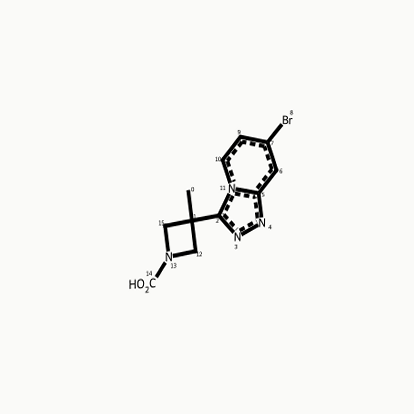 CC1(c2nnc3cc(Br)ccn23)CN(C(=O)O)C1